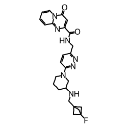 O=C(NCc1ccc(N2CCCC(NCC34CC(F)(C3)C4)C2)nn1)c1cc(=O)n2ccccc2n1